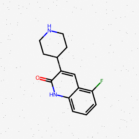 O=c1[nH]c2cccc(F)c2cc1C1CCNCC1